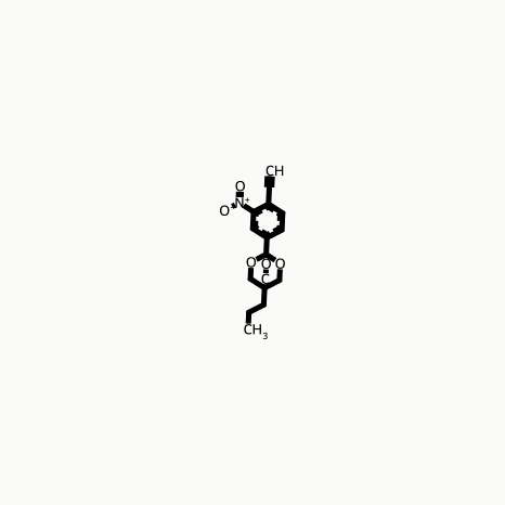 C#Cc1ccc(C23OCC(CCC)(CO2)CO3)cc1[N+](=O)[O-]